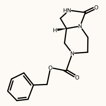 O=C(OCc1ccccc1)N1CCN2C(=O)NC[C@H]2C1